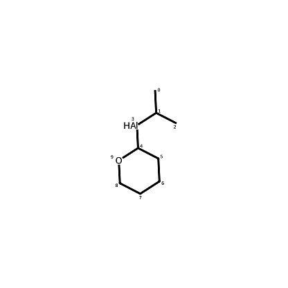 C[CH](C)[AlH][CH]1CCCCO1